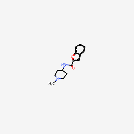 CN1CCC(NC(=O)c2cc3ccccc3o2)CC1